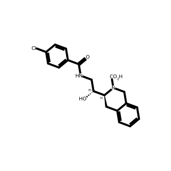 O=C(NC[C@@H](O)[C@@H]1Cc2ccccc2CN1C(=O)O)c1ccc(Cl)cc1